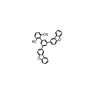 N#Cc1cccc(C#N)c1-c1cc(-c2ccc3oc4ccccc4c3c2)cc(-c2ccc3oc4ccccc4c3c2)c1